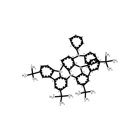 CC(C)(C)c1ccc2c(c1)-c1cc(C(C)(C)C)cc3c1B2c1ccc(N(c2ccccc2)c2ccccc2)c2c1N3c1cc(C(C)(C)C)cc3c1B2c1ccc(C(C)(C)C)cc1-3